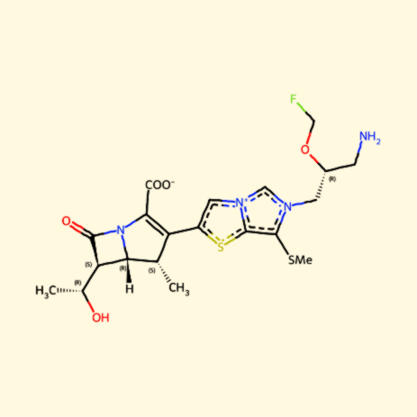 CSc1c2sc(C3=C(C(=O)[O-])N4C(=O)[C@H]([C@@H](C)O)[C@H]4[C@H]3C)c[n+]2cn1C[C@@H](CN)OCF